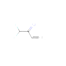 C=CC(=N)C(F)F